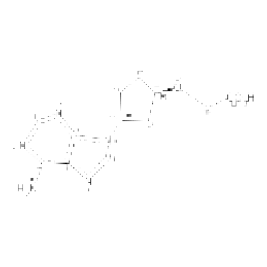 Nc1ncnc2c1ncn2[C@@H]1CC[C@@H](OCC(=O)O)C1